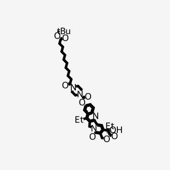 CCc1c2c(nc3ccc(OC(=O)N4CCN(C(=O)CCCCCCCCCCC(=O)OC(C)(C)C)CC4)cc13)-c1cc3c(c(=O)n1C2)COC(=O)[C@]3(O)CC